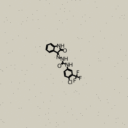 O=C(NN=C1C(=O)Nc2ccccc21)Nc1ccc(Cl)c(C(F)(F)F)c1